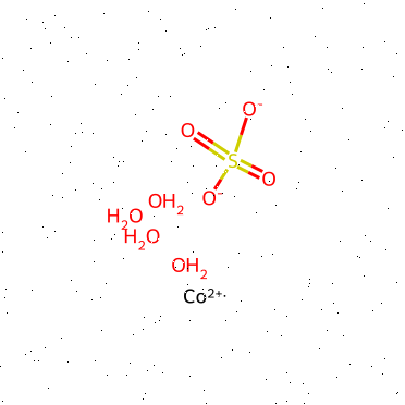 O.O.O.O.O=S(=O)([O-])[O-].[Co+2]